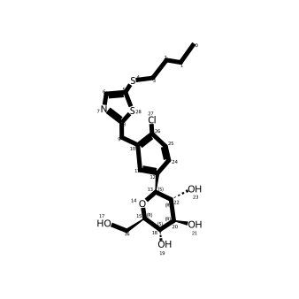 CCCCSc1cnc(Cc2cc([C@@H]3O[C@H](CO)[C@@H](O)[C@H](O)[C@H]3O)ccc2Cl)s1